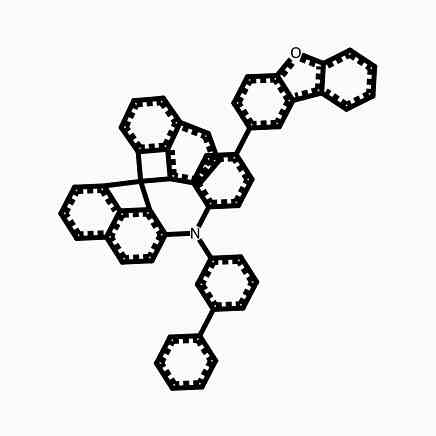 c1ccc(-c2cccc(N(c3ccc(-c4ccc5oc6ccccc6c5c4)cc3)c3ccc4cccc5c4c3C53c4cccc5cccc3c45)c2)cc1